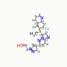 CC(c1c(F)cc2ncccc2c1F)c1cnc2ccc(-c3cnn(CCO)c3)nn12